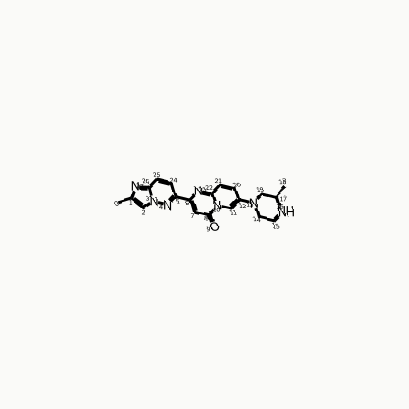 Cc1cn2nc(-c3cc(=O)n4cc(N5CCN[C@H](C)C5)ccc4n3)ccc2n1